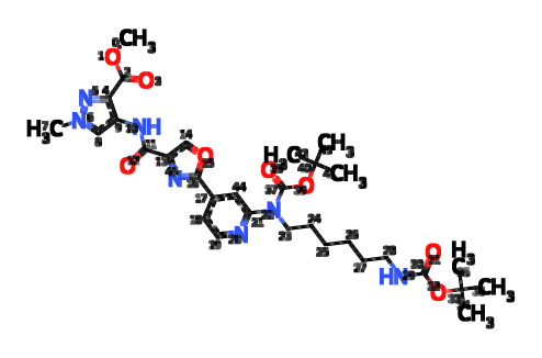 COC(=O)c1nn(C)cc1NC(=O)c1coc(-c2ccnc(N(CCCCCCNC(=O)OC(C)(C)C)C(=O)OC(C)(C)C)c2)n1